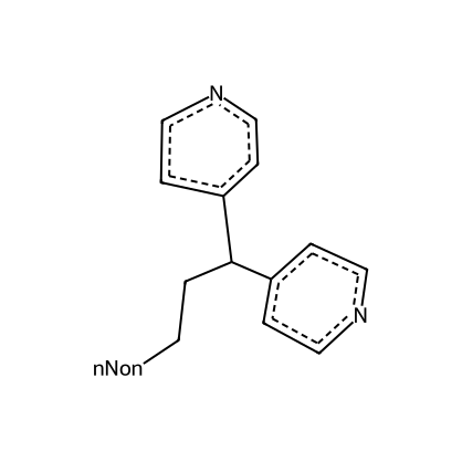 CCCCCCCCCCCC(c1ccncc1)c1ccncc1